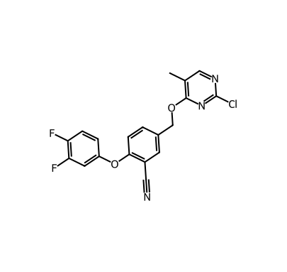 Cc1cnc(Cl)nc1OCc1ccc(Oc2ccc(F)c(F)c2)c(C#N)c1